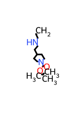 C=CCNCCC1CCN(C(=O)OC(C)(C)C)CC1